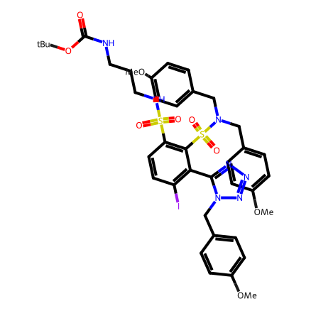 COc1ccc(CN(Cc2ccc(OC)cc2)S(=O)(=O)c2c(S(=O)(=O)NCCCNC(=O)OC(C)(C)C)ccc(I)c2-c2nnnn2Cc2ccc(OC)cc2)cc1